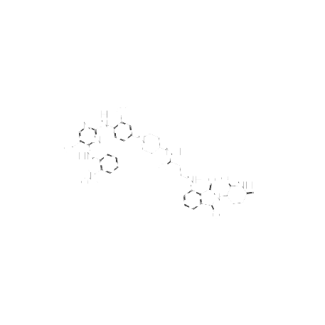 COc1cc(N2CCC(NC(=O)CCNc3cccc4c3C(=O)N(C3CCC(=O)NC3=O)C4=O)CC2)ccc1Nc1ncc(Cl)c(Nc2ccccc2P(C)(C)=O)n1